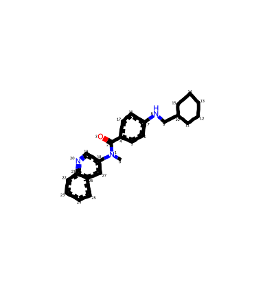 CN(C(=O)c1ccc(NCC2CCCCC2)cc1)c1cnc2ccccc2c1